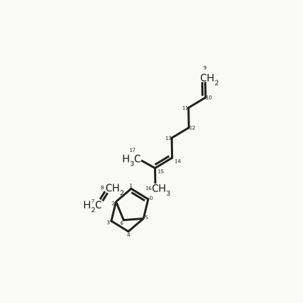 C1=CC2CCC1C2.C=C.C=CCCCC=C(C)C